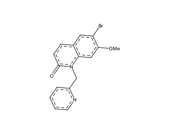 COc1cc2c(ccc(=O)n2Cc2ccccn2)cc1Br